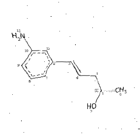 C[C@H](O)CC=Cc1cccc(N)c1